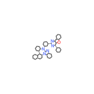 c1ccc(-c2nc(-c3cccc(N4c5ccccc5-c5c(ccc6ccccc56)-n5c4nc4ccccc45)c3)nc3c2oc2ccccc23)cc1